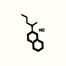 CCCN(C)c1ccc2ccccc2c1.Cl